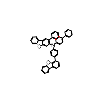 c1ccc(-c2ccc(N(c3ccc(-c4cccc5c4oc4ccccc45)cc3)c3cc4oc5ccccc5c4cc3-c3ccccc3)cc2)cc1